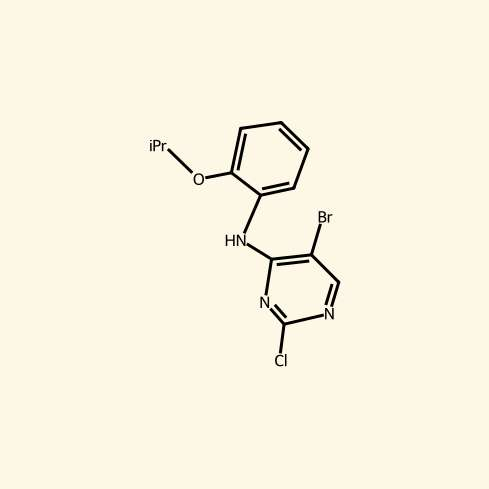 CC(C)Oc1ccccc1Nc1nc(Cl)ncc1Br